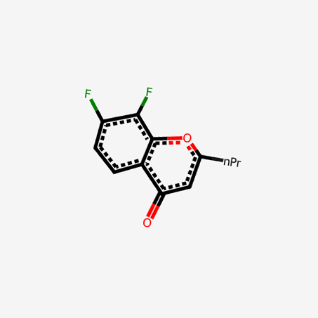 CCCc1cc(=O)c2ccc(F)c(F)c2o1